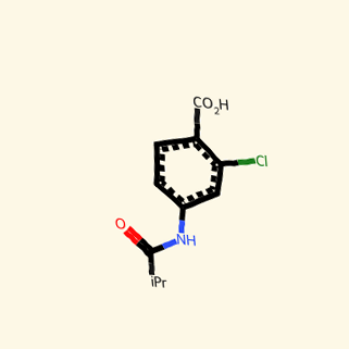 CC(C)C(=O)Nc1ccc(C(=O)O)c(Cl)c1